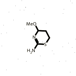 COC1CCSC(N)=N1